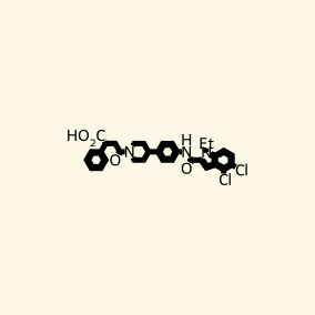 CCn1c(C(=O)Nc2ccc(C3CCN(C(=O)CC(C(=O)O)c4ccccc4)CC3)cc2)cc2c(Cl)c(Cl)ccc21